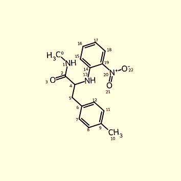 CNC(=O)C(Cc1ccc(C)cc1)Nc1ccccc1[N+](=O)[O-]